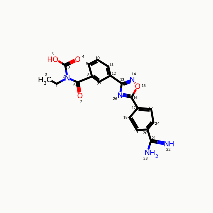 CCN(C(=O)O)C(=O)c1cccc(-c2noc(-c3ccc(C(=N)N)cc3)n2)c1